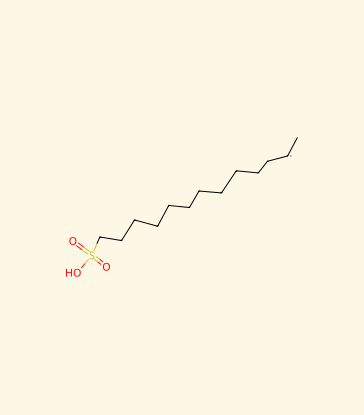 C[CH]CCCCCCCCCCCS(=O)(=O)O